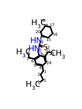 CCCCc1cc(CC)c(NC(=S)NC2CCCC(C)C2)c(CC)c1